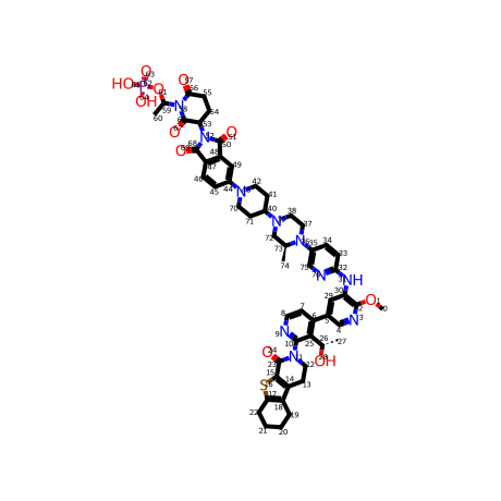 COc1ncc(-c2ccnc(N3CCc4c(sc5c4CCCC5)C3=O)c2[C@H](C)O)cc1Nc1ccc(N2CCN(C3CCN(c4ccc5c(c4)C(=O)N(C4CCC(=O)N(C(C)OP(=O)(O)O)C4=O)C5=O)CC3)C[C@@H]2C)cn1